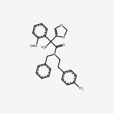 COc1ccccc1C(N)(C(=O)N(CCc1ccc(C(F)(F)F)cc1)Cc1ccccc1)C1=COCO1